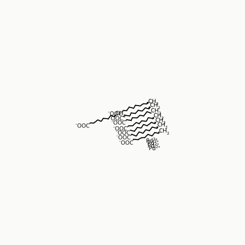 C=CCCCCCCCC(=O)[O-].C=CCCCCCCCC(=O)[O-].C=CCCCCCCCC(=O)[O-].C=CCCCCCCCC(=O)[O-].C=CCCCCCCCC(=O)[O-].C=CCCCCCCCC(=O)[O-].C=CCCCCCCCC(=O)[O-].C=CCCCCCCCC(=O)[O-].[Pd+2].[Pd+2].[Pd+2].[Pd+2]